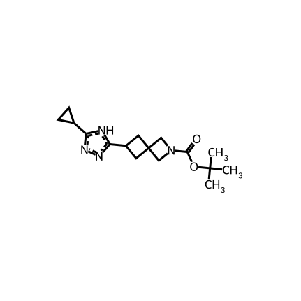 CC(C)(C)OC(=O)N1CC2(CC(c3nnc(C4CC4)[nH]3)C2)C1